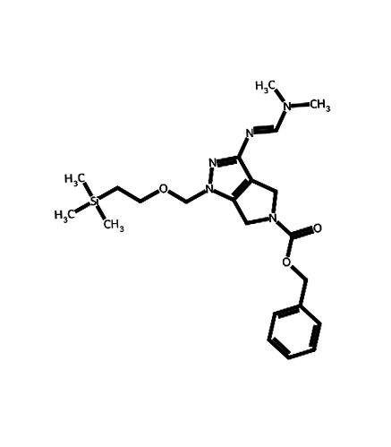 CN(C)C=Nc1nn(COCC[Si](C)(C)C)c2c1CN(C(=O)OCc1ccccc1)C2